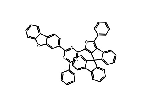 c1ccc(-c2nc(-c3ccc4c(c3)oc3ccccc34)nc(-c3oc(-c4ccccc4)c4c3C3(c5ccccc5-c5ccccc53)c3ccccc3-4)n2)cc1